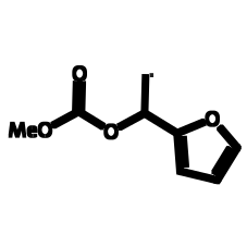 [CH2]C(OC(=O)OC)c1ccco1